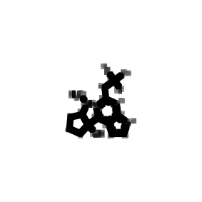 CNC1CCCC1(O)c1nc(CC(F)(F)F)nc2sccc12